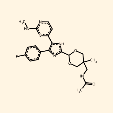 CNc1nccc(-c2[nH]c(C3OCC(C)(CNC(C)=O)CO3)nc2-c2ccc(F)cc2)n1